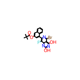 CC(C)(C)C(=O)Oc1cc(-c2nc(Br)c3c(O)nc(O)nc3c2F)c2ccccc2c1